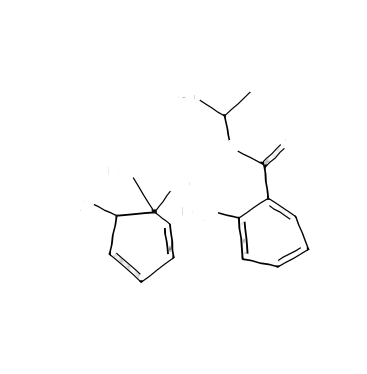 CCCCCC(C)OC(=O)c1ccccc1C(=O)O.CCCCCCCC1(C(=O)O)C=CC=CC1C(=O)O